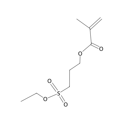 C=C(C)C(=O)OCCCS(=O)(=O)OCC